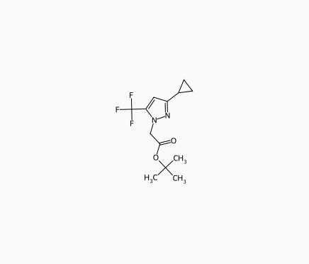 CC(C)(C)OC(=O)Cn1nc(C2CC2)cc1C(F)(F)F